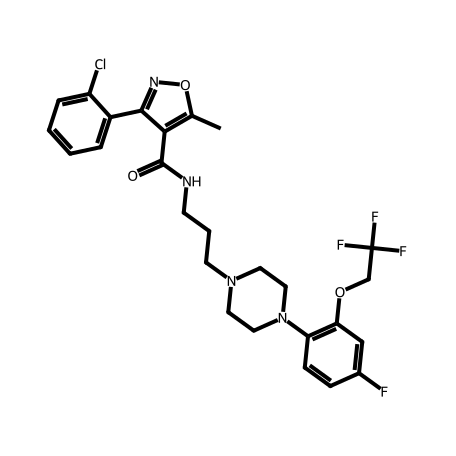 Cc1onc(-c2ccccc2Cl)c1C(=O)NCCCN1CCN(c2ccc(F)cc2OCC(F)(F)F)CC1